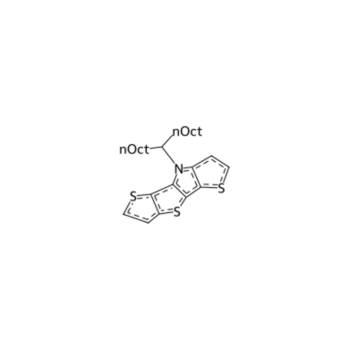 CCCCCCCCC(CCCCCCCC)n1c2ccsc2c2sc3ccsc3c21